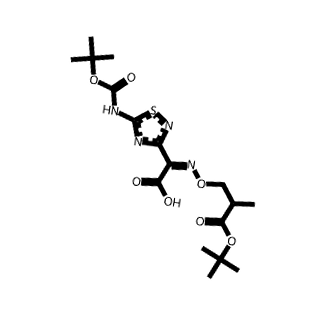 CC(CON=C(C(=O)O)c1nsc(NC(=O)OC(C)(C)C)n1)C(=O)OC(C)(C)C